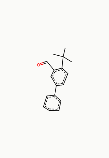 CC(C)(C)c1ccc(-c2ccccc2)cc1C=O